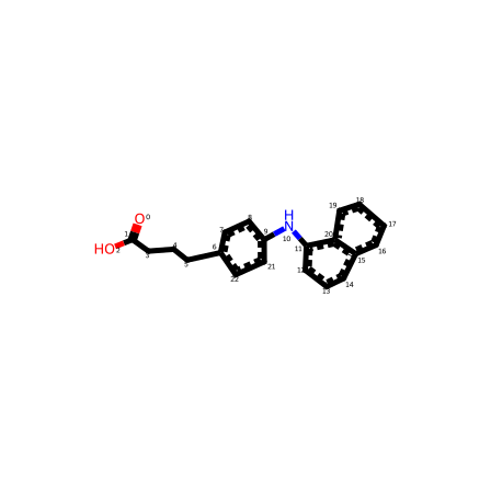 O=C(O)CCCc1ccc(Nc2cccc3ccccc23)cc1